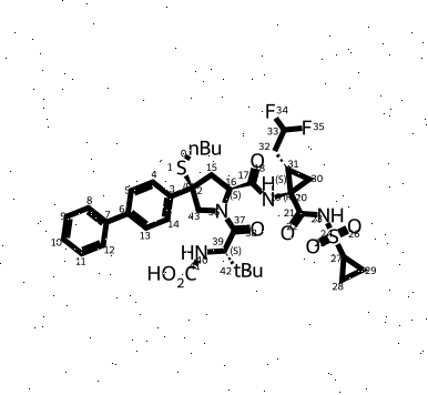 CCCCS[C@@]1(c2ccc(-c3ccccc3)cc2)C[C@@H](C(=O)N[C@]2(C(=O)NS(=O)(=O)C3CC3)C[C@H]2CC(F)F)N(C(=O)[C@@H](NC(=O)O)C(C)(C)C)C1